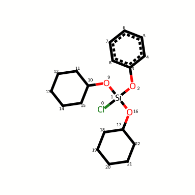 Cl[Si](Oc1ccccc1)(OC1CCCCC1)OC1CCCCC1